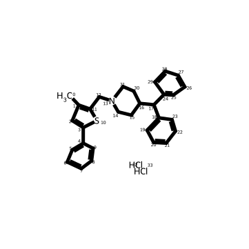 Cc1cc(-c2ccccc2)sc1CN1CCC(C(c2ccccc2)c2ccccc2)CC1.Cl.Cl